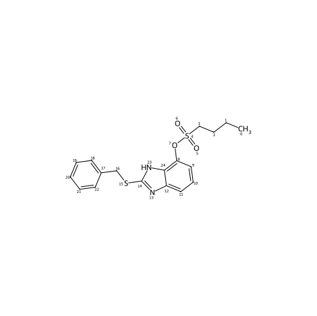 CCCCS(=O)(=O)Oc1cccc2nc(SCc3ccccc3)[nH]c12